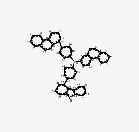 c1ccc2c(c1)ccc1cc(N(c3ccc(-c4cccc5c4ccc4ccccc45)cc3)c3ccc(-c4cccc5oc6ccccc6c45)cc3)ccc12